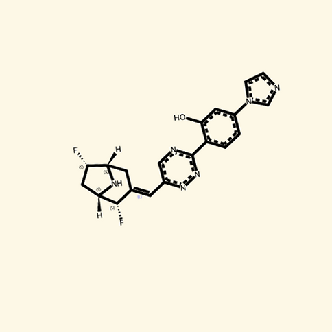 Oc1cc(-n2ccnc2)ccc1-c1ncc(/C=C2\C[C@@H]3N[C@@H](C[C@@H]3F)[C@H]2F)nn1